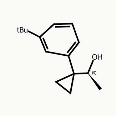 C[C@H](O)C1(c2cccc(C(C)(C)C)c2)CC1